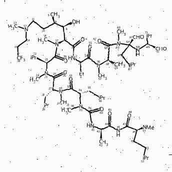 CC[C@@H](NC(=O)[C@H]([C@H](O)[C@H](C)CCN(C)CCC(F)(F)F)N(C)C(=O)[C@H](C(C)C)N(C)C(=O)[C@@H](CC(C)C)N(C)C(=O)[C@H](CC(C)C)N(C)C(=O)N[C@H](C)C(=O)NC(=O)[C@H](CCC(C)C)NC)C(=O)N(C)[C@H](C)C(=O)N(C)[C@@](C=O)(CC(C)C)N[C@H](C=O)C(C)C